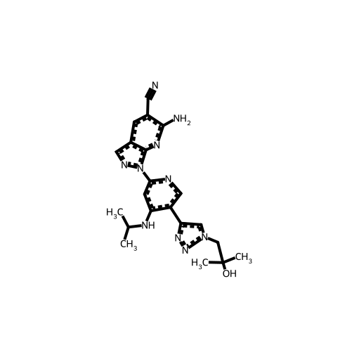 CC(C)Nc1cc(-n2ncc3cc(C#N)c(N)nc32)ncc1-c1cn(CC(C)(C)O)nn1